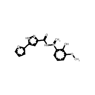 C=[N+](NC(=O)c1cc(-c2ccco2)[nH]n1)c1cccc(OC)c1O